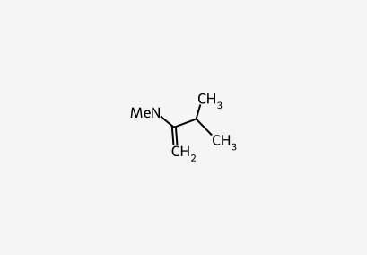 C=C(NC)C(C)C